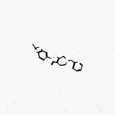 Cc1nc2ccc(-n3[nH]c4c(c3=O)CCN(Cc3ccccn3)C4)cc2s1